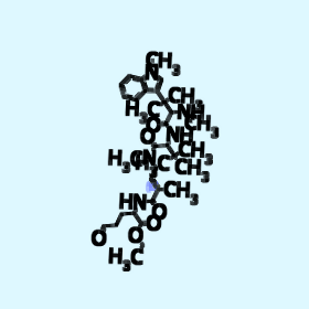 CCOC(=O)C(CCC=O)NC(=O)/C(C)=C/CN(C)C(=O)C(NC(=O)C(NC)C(C)(C)c1cn(C)c2ccccc12)C(C)(C)C